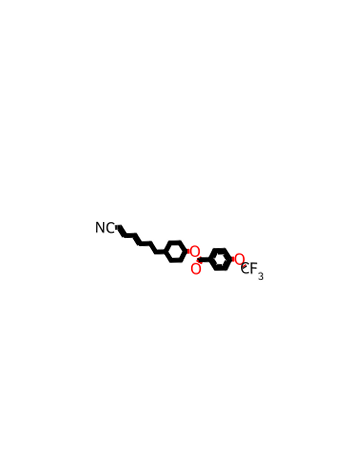 N#CC=C/C=C/CCC1CCC(OC(=O)c2ccc(OC(F)(F)F)cc2)CC1